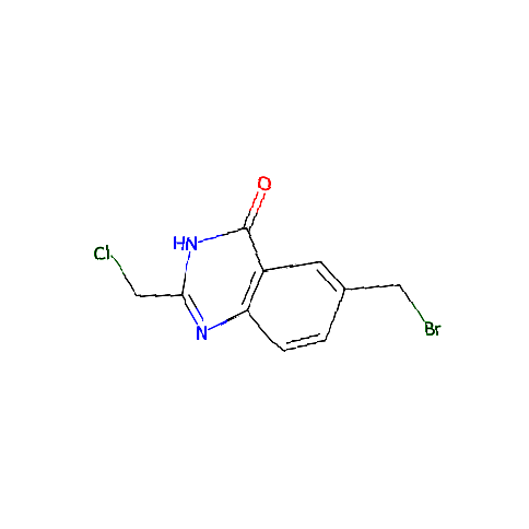 O=c1[nH]c(CCl)nc2ccc(CBr)cc12